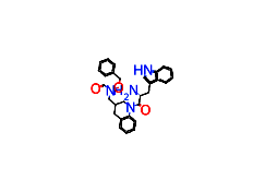 N[C@H](Cc1c[nH]c2ccccc12)C(=O)N1CC(CN(C=O)OCc2ccccc2)Cc2ccccc21